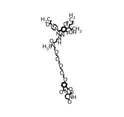 C=CC(=O)N1CCN(c2nc(NCCC(=O)N(C)CCOCCOCCOCCOCCOc3ccc4c(c3)C(=O)N(C3CCC(=O)NC3=O)C4=O)nc3c(F)c(/C(C(=C)O)=C(F)/C=C\C)c(Cl)cc23)CC1